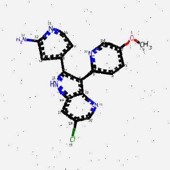 COc1ccc(-c2c(-c3ccnc(N)c3)[nH]c3cc(Cl)cnc23)nc1